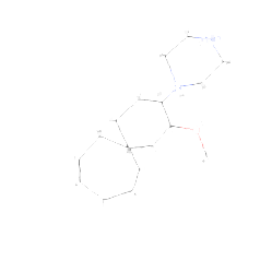 COC1CC2(CCCCCC2)CCC1N1CCNCC1